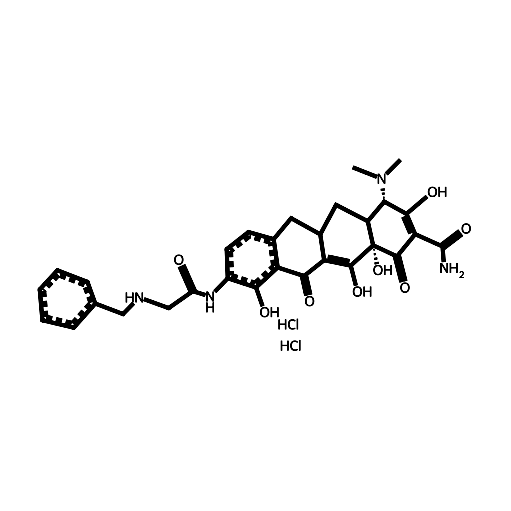 CN(C)[C@@H]1C(O)=C(C(N)=O)C(=O)[C@@]2(O)C(O)=C3C(=O)c4c(ccc(NC(=O)CNCc5ccccc5)c4O)CC3CC12.Cl.Cl